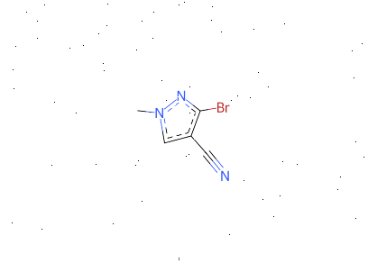 Cn1cc(C#N)c(Br)n1